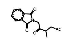 CC(=O)CC(C)C(=O)CN1C(=O)c2ccccc2C1=O